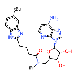 CC(C)N(C[C@H]1O[C@@H](n2cnc3c(N)ccnc32)[C@H](O)[C@@H]1O)C(=O)CCCc1nc2cc(C(C)(C)C)ccc2[nH]1